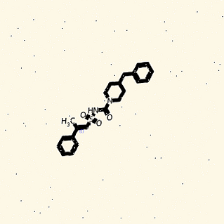 C/C(=C\S(=O)(=O)NC(=O)N1CCC(Cc2ccccc2)CC1)c1ccccc1